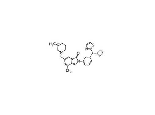 C[C@H]1CCCN(Cc2cc(C(F)(F)F)c3cn(-c4cccc(C(c5nccs5)C5CCC5)c4)c(=O)n3c2)C1